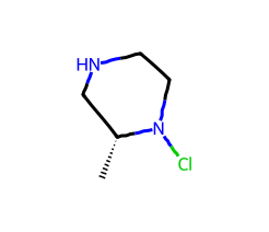 C[C@@H]1CNCCN1Cl